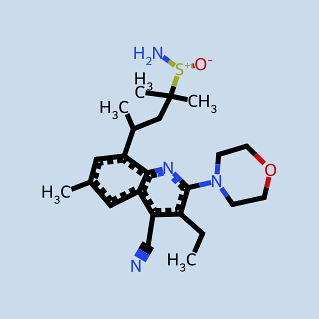 CCc1c(N2CCOCC2)nc2c(C(C)CC(C)(C)[S+](N)[O-])cc(C)cc2c1C#N